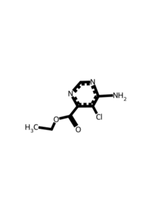 CCOC(=O)c1ncnc(N)c1Cl